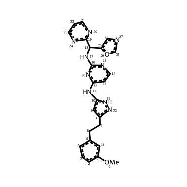 COc1cccc(CCc2cc(Nc3ccnc(NC(c4ncccn4)c4cnco4)n3)[nH]n2)c1